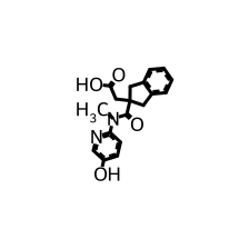 CN(C(=O)C1(CC(=O)O)Cc2ccccc2C1)c1ccc(O)cn1